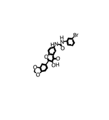 O=C(Nc1cccc(Br)c1)Nc1ccc2oc(-c3ccc4c(c3)OCO4)c(O)c(=O)c2c1